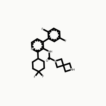 O=C(Nc1c(-c2cc(F)ccc2F)ccnc1C1CCC(F)(F)CC1)N1CC2(CNC2)C1